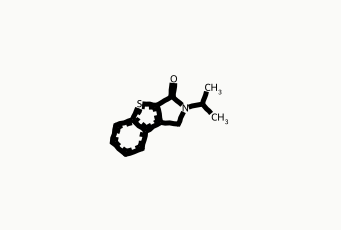 CC(C)N1Cc2c(sc3ccccc23)C1=O